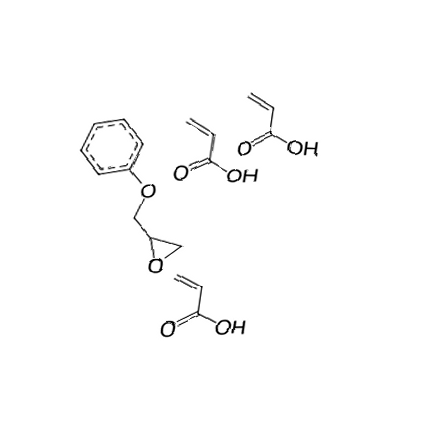 C=CC(=O)O.C=CC(=O)O.C=CC(=O)O.c1ccc(OCC2CO2)cc1